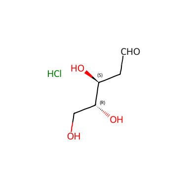 Cl.O=CC[C@H](O)[C@H](O)CO